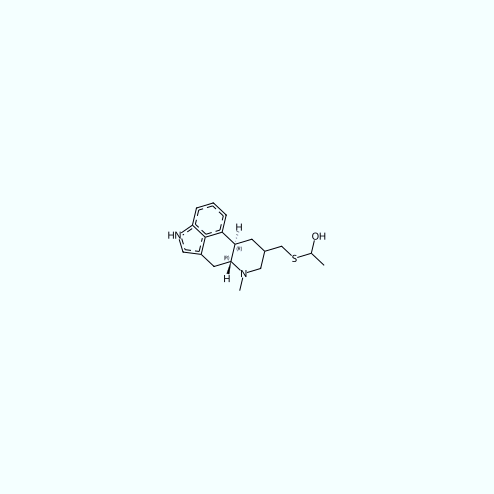 CC(O)SCC1C[C@@H]2c3cccc4[nH]cc(c34)C[C@H]2N(C)C1